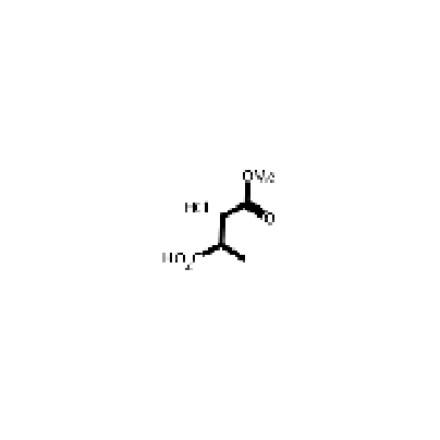 COC(=O)CC(C)C(=O)O.Cl